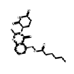 CCCCCC(=O)NCc1cccc2nc(C)n(C3CCC(=O)NC3=O)c(=O)c12